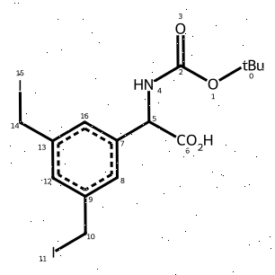 CC(C)(C)OC(=O)NC(C(=O)O)c1cc(CI)cc(CI)c1